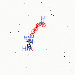 CC(=O)Nc1ccc(OCCOCCOCCOCCNc2cc(C)c(-c3ccc4c(c3)CC(=O)N4)c(C)n2)cc1